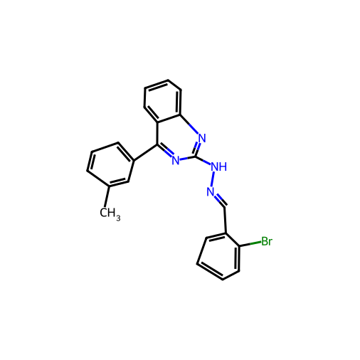 Cc1cccc(-c2nc(N/N=C/c3ccccc3Br)nc3ccccc23)c1